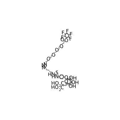 O=C(CCOCCOCCOCCOCCn1cc(CCCCNC(=S)Nc2ccc(O[C@H]3O[C@H](CC(C(=O)O)C(=O)O)[C@@H](O)[C@H](O)[C@@H]3O)cc2)nn1)Oc1c(F)c(F)c(F)c(F)c1F